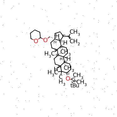 C=C(C)[C@@H]1CC[C@]2(COC3CCCCO3)CC[C@]3(C)[C@H](CC[C@@H]4[C@@]5(C)CC[C@H](O[Si](C)(C)C(C)(C)C)C(C)(C)[C@@H]5CC[C@]43C)[C@@H]12